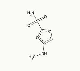 CNc1ccc(S(N)(=O)=O)o1